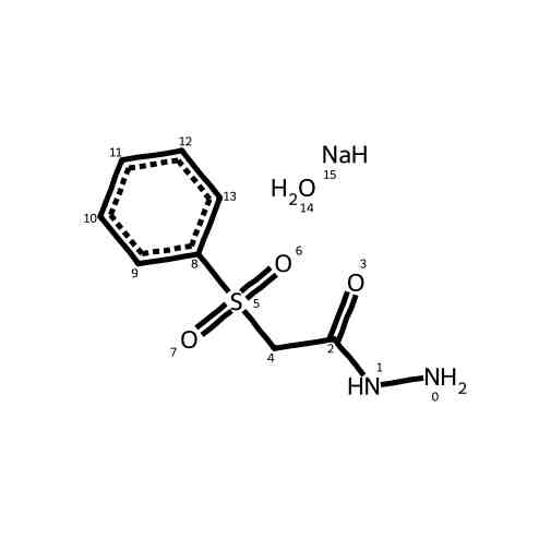 NNC(=O)CS(=O)(=O)c1ccccc1.O.[NaH]